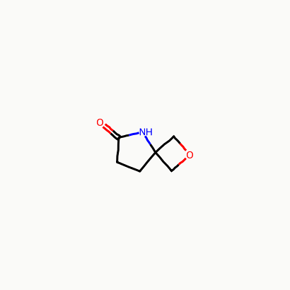 O=C1CCC2(COC2)N1